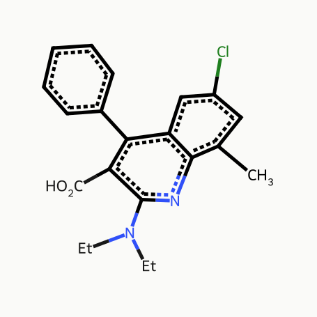 CCN(CC)c1nc2c(C)cc(Cl)cc2c(-c2ccccc2)c1C(=O)O